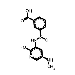 CNc1cnc(O)c(N[S+]([O-])c2cccc(C(=O)O)c2)c1